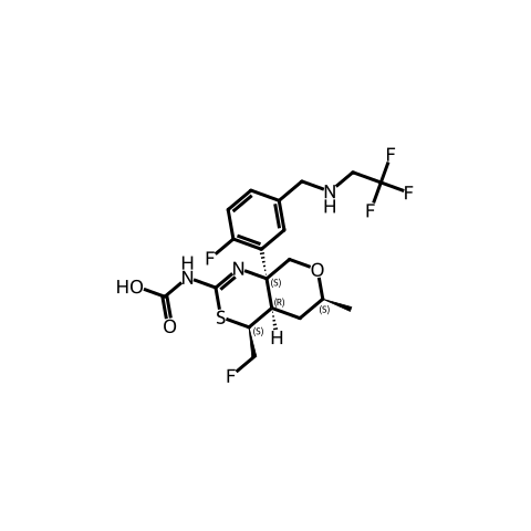 C[C@H]1C[C@H]2[C@@H](CF)SC(NC(=O)O)=N[C@@]2(c2cc(CNCC(F)(F)F)ccc2F)CO1